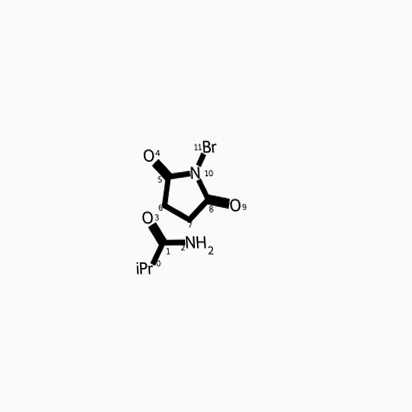 CC(C)C(N)=O.O=C1CCC(=O)N1Br